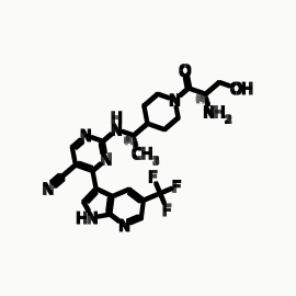 C[C@@H](Nc1ncc(C#N)c(-c2c[nH]c3ncc(C(F)(F)F)cc23)n1)C1CCN(C(=O)[C@H](N)CO)CC1